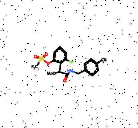 COC(C(=O)NCc1ccc(C#N)cc1)c1c(F)cccc1OS(=O)(=O)C(F)(F)F